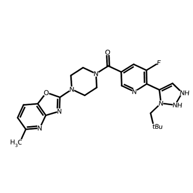 Cc1ccc2oc(N3CCN(C(=O)c4cnc(C5=CNNN5CC(C)(C)C)c(F)c4)CC3)nc2n1